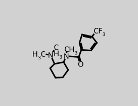 CN(C)C1CCCCC1N(C)C(=O)c1ccc(C(F)(F)F)cc1